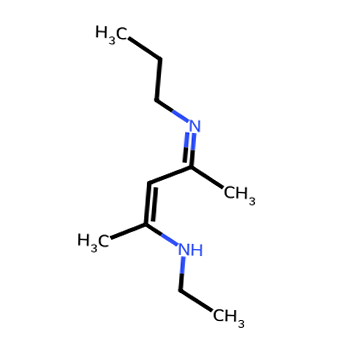 CCCN=C(C)C=C(C)NCC